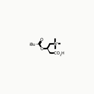 CC[C@@H](C)C(=O)O[C@H](CC(=O)O)C[N+](C)(C)C